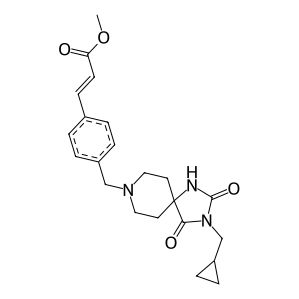 COC(=O)C=Cc1ccc(CN2CCC3(CC2)NC(=O)N(CC2CC2)C3=O)cc1